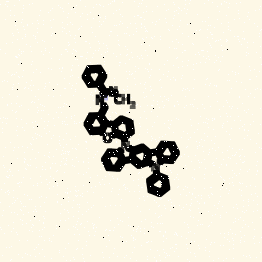 C=N/C(=N\Cc1cccc2c1C1CC=CC(n3c4ccccc4c4cc5c(cc43)c3ccccc3n5-c3ccccc3)=C1O2)c1ccccc1